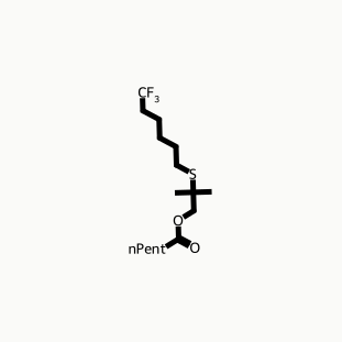 CCCCCC(=O)OCC(C)(C)SCCCCCC(F)(F)F